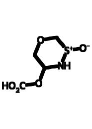 O=C(O)OC1COC[S+]([O-])N1